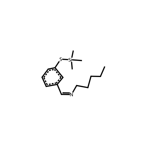 CCCCC/N=C\c1cccc(S[Si](C)(C)C)c1